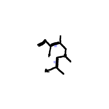 C=C/C(F)=C(\C)CN(C)/C=C(\C)C(C)=O